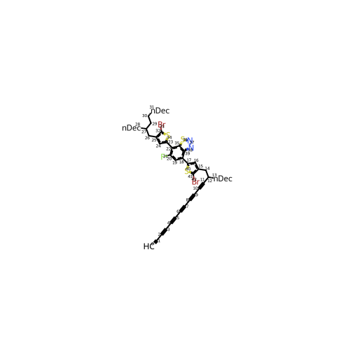 C#CC#CC#CC#CC#CC#CC(CCCCCCCCCC)Cc1cc(-c2cc(F)c(-c3cc(CC(CCCCCCCCCC)CCCCCCCCCCCC)c(Br)s3)c3snnc23)sc1Br